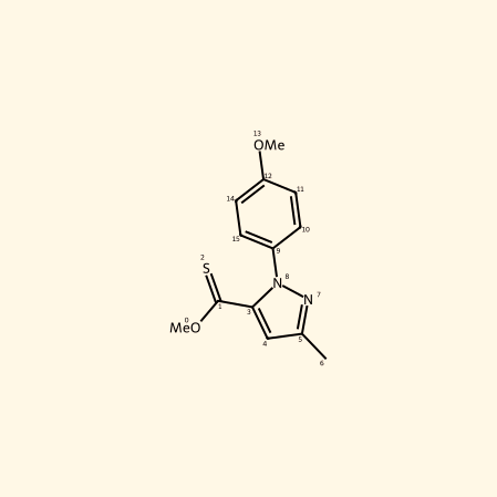 COC(=S)c1cc(C)nn1-c1ccc(OC)cc1